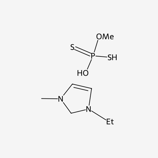 CCN1C=CN(C)C1.COP(O)(=S)S